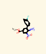 COC(=O)c1cc(-c2ccc(F)cc2)c(N)c([N+](=O)[O-])c1